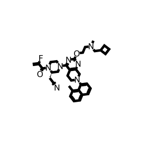 C=C(F)C(=O)N1CCN(c2nc(OCCN(C)CC3CCC3)nc3c2CCN(c2cccc4cccc(C)c24)C3)C[C@@H]1CC#N